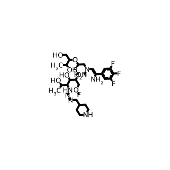 CC(O)C(CO)OC(CN(N)/C=C(\N)c1cc(F)c(F)c(F)c1)SOC(COF)C(O)C(N/N=N\CC1CCNCC1)C(C)O